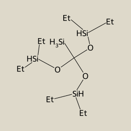 CC[SiH](CC)OC([SiH3])(O[SiH](CC)CC)O[SiH](CC)CC